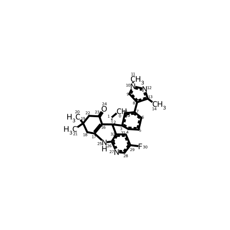 CC[C@@]1(c2cccc(-c3cn(C)nc3C)c2)C2=C(CC(C)(C)CC2=O)Nc2ncc(F)cc21